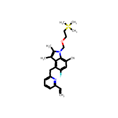 C=Cc1cccc(Cc2c(F)cc(C#N)c3c2c(C)c(C)n3COCCS(C)(C)C)n1